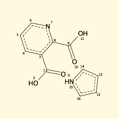 O=C(O)c1cccnc1C(=O)O.c1cc[nH]c1